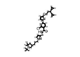 CC(C)(C)N1CC(CCCn2ccc(SNC(=O)c3ccc(-n4ccc(OCCC(C5CC5)C5CC5)n4)nc3Cl)n2)CC1(C)C